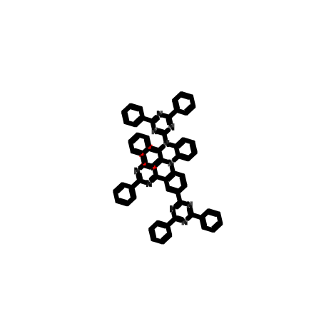 c1ccc(-c2nc(-c3ccccc3)nc(-c3ccc(N4c5ccccc5N(c5nc(-c6ccccc6)nc(-c6ccccc6)n5)c5ccccc54)c(-c4nc(-c5ccccc5)nc(-c5ccccc5)n4)c3)n2)cc1